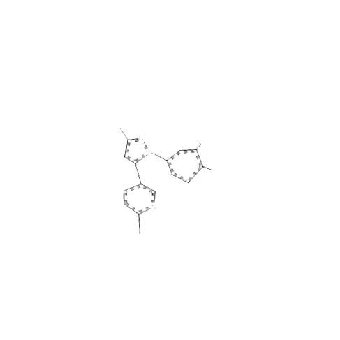 CCOC(=O)c1cc(-c2ccc(C)nc2)n(-c2ccc(C(F)(F)F)c(F)c2)n1